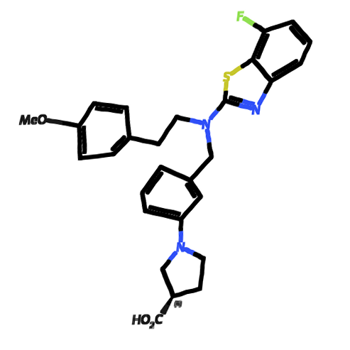 COc1ccc(CCN(Cc2cccc(N3CC[C@@H](C(=O)O)C3)c2)c2nc3cccc(F)c3s2)cc1